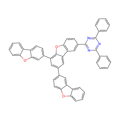 c1ccc(-c2nc(-c3ccccc3)nc(-c3ccc4oc5c(-c6ccc7c(c6)oc6ccccc67)cc(-c6ccc7oc8ccccc8c7c6)cc5c4c3)n2)cc1